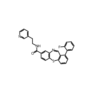 O=C(NCCc1cccnc1)c1ccc2c(c1)N=Cc1c(cccc1-c1ccccc1F)S2